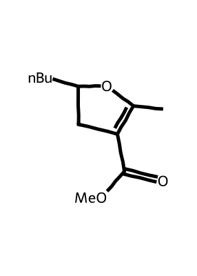 CCCCC1CC(C(=O)OC)=C(C)O1